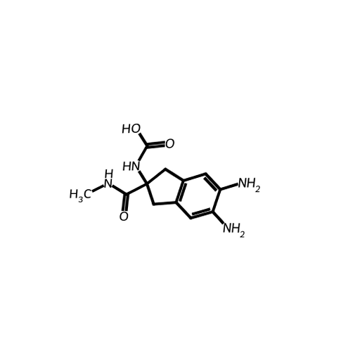 CNC(=O)C1(NC(=O)O)Cc2cc(N)c(N)cc2C1